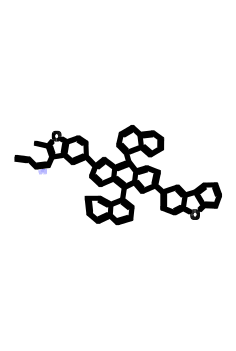 C=C/C=C\c1c(C)oc2ccc(-c3ccc4c(-c5cccc6ccccc56)c5cc(-c6ccc7oc8ccccc8c7c6)ccc5c(-c5cccc6ccccc56)c4c3)cc12